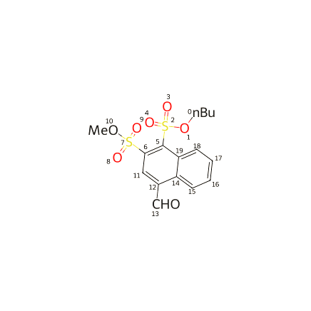 CCCCOS(=O)(=O)c1c(S(=O)(=O)OC)cc(C=O)c2ccccc12